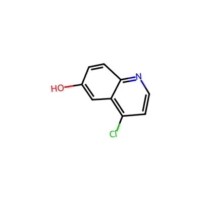 Oc1ccc2nccc(Cl)c2c1